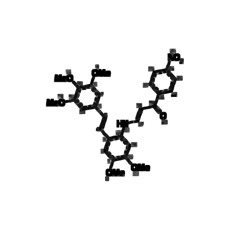 COc1cc(C=Cc2cc(OC)c(OC)c(OC)c2)c(NC=CC(=O)c2ccc([N+](=O)[O-])cc2)cc1OC